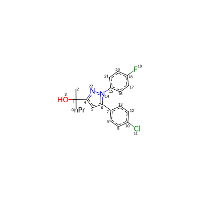 CCCC(C)(O)c1cc(-c2ccc(Cl)cc2)n(-c2ccc(F)cc2)n1